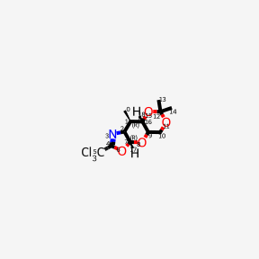 C[C@@H]1C2N=C(C(Cl)(Cl)Cl)O[C@H]2OC2COC(C)(C)O[C@H]21